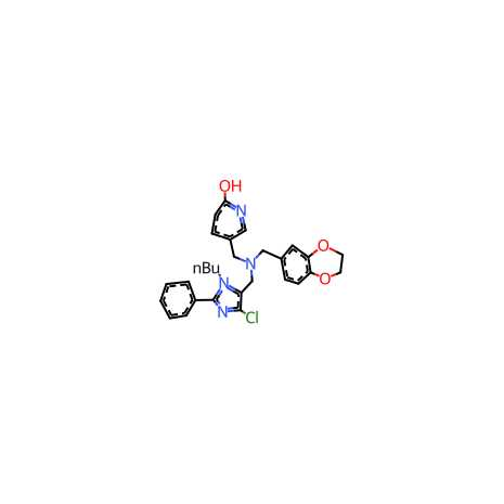 CCCCn1c(-c2ccccc2)nc(Cl)c1CN(Cc1ccc(O)nc1)Cc1ccc2c(c1)OCCO2